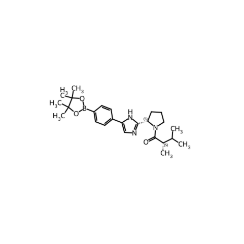 CC(C)[C@H](C)C(=O)N1CCC[C@H]1c1ncc(-c2ccc(B3OC(C)(C)C(C)(C)O3)cc2)[nH]1